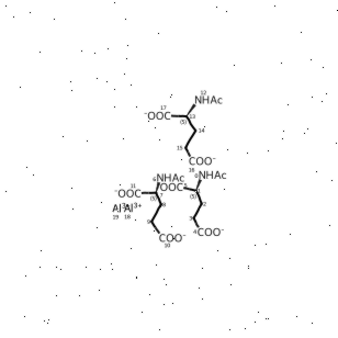 CC(=O)N[C@@H](CCC(=O)[O-])C(=O)[O-].CC(=O)N[C@@H](CCC(=O)[O-])C(=O)[O-].CC(=O)N[C@@H](CCC(=O)[O-])C(=O)[O-].[Al+3].[Al+3]